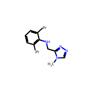 CC(C)c1cccc(C(C)C)c1NCc1nncn1C